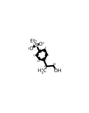 CCS(=O)(=O)c1ccc([C@@H](C)CO)cc1